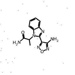 CC(C(N)=O)n1c(-c2nonc2N)nc2ccccc21